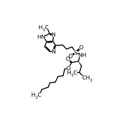 CCCCCCCCOC(=O)[C@H](CC(C)C)NS(=O)(=O)CCCc1nccc2[nH]c(C)nc12